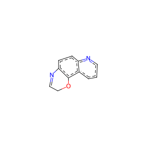 C1=Nc2ccc3ncccc3c2OC1